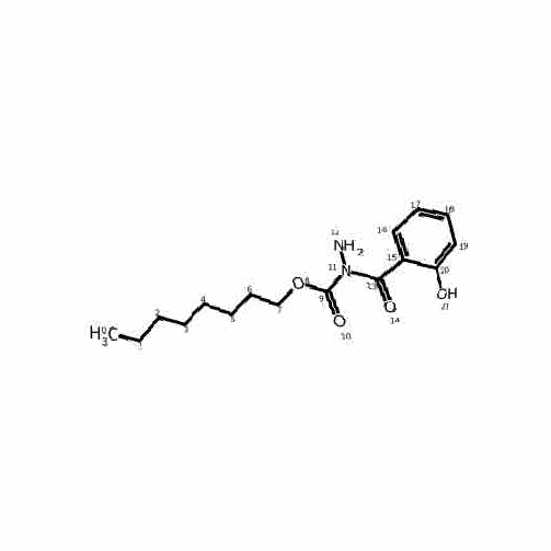 CCCCCCCCOC(=O)N(N)C(=O)c1ccccc1O